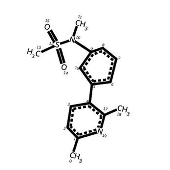 Cc1ccc(-c2cccc(N(C)S(C)(=O)=O)c2)c(C)n1